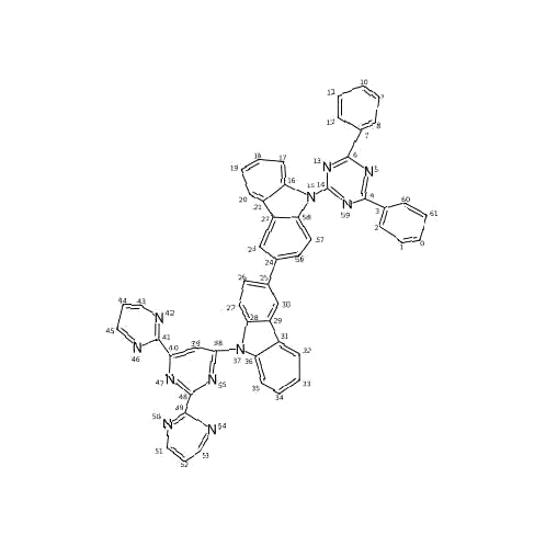 c1ccc(-c2nc(-c3ccccc3)nc(-n3c4ccccc4c4cc(-c5ccc6c(c5)c5ccccc5n6-c5cc(-c6ncccn6)nc(-c6ncccn6)n5)ccc43)n2)cc1